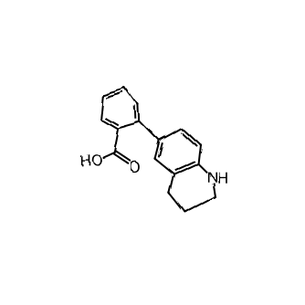 O=C(O)c1ccccc1-c1ccc2c(c1)CCCN2